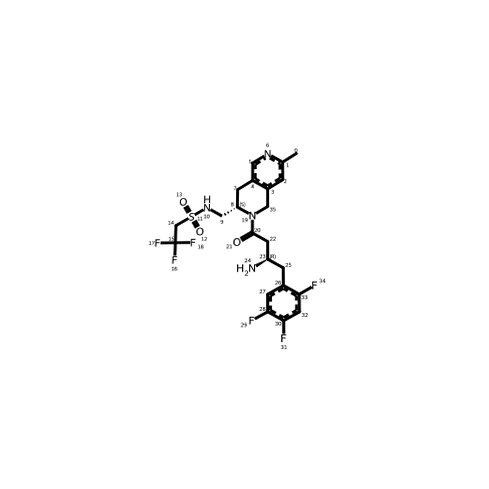 Cc1cc2c(cn1)C[C@@H](CNS(=O)(=O)CC(F)(F)F)N(C(=O)C[C@H](N)Cc1cc(F)c(F)cc1F)C2